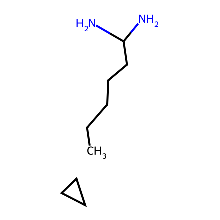 C1CC1.CCCCCC(N)N